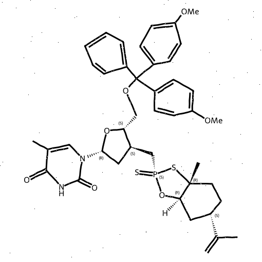 C=C(C)[C@H]1CC[C@@]2(C)S[P@@](=S)(C[C@H]3C[C@H](n4cc(C)c(=O)[nH]c4=O)O[C@@H]3COC(c3ccccc3)(c3ccc(OC)cc3)c3ccc(OC)cc3)O[C@@H]2C1